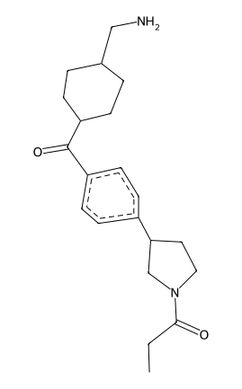 CCC(=O)N1CCC(c2ccc(C(=O)C3CCC(CN)CC3)cc2)C1